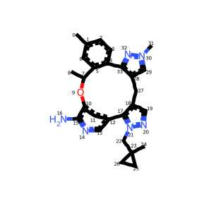 Cc1ccc2c(c1)C(C)Oc1cc(cnc1N)-c1c(cnn1CC1(C)CC1)Cc1cn(C)nc1-2